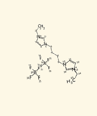 CC[n+]1ccn(CCCCn2cc[n+](CC)c2)c1.F[B-](F)(F)F.F[B-](F)(F)F